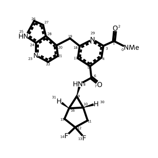 CNC(=O)c1cc(C(=O)N[C@H]2[C@@H]3CC(F)(F)C[C@@H]32)cc(Cc2ccnc3[nH]ccc23)n1